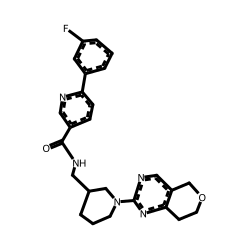 O=C(NCC1CCCN(c2ncc3c(n2)CCOC3)C1)c1ccc(-c2cccc(F)c2)nc1